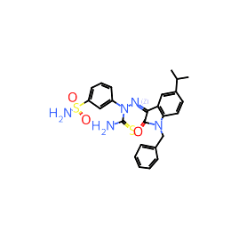 CC(C)c1ccc2c(c1)/C(=N/N(C(N)=S)c1cccc(S(N)(=O)=O)c1)C(=O)N2Cc1ccccc1